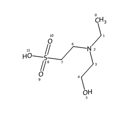 CCN(CCO)CCS(=O)(=O)O